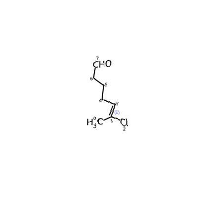 C/C(Cl)=C\CCCC=O